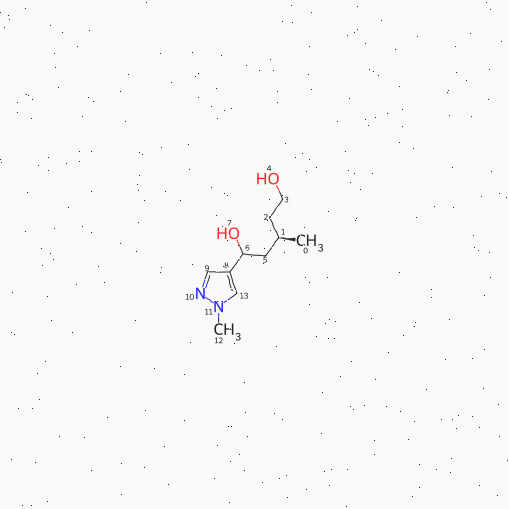 C[C@H](CCO)CC(O)c1cnn(C)c1